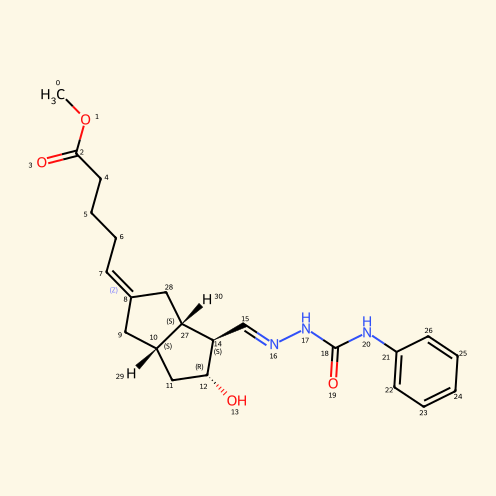 COC(=O)CCC/C=C1/C[C@H]2C[C@@H](O)[C@H](C=NNC(=O)Nc3ccccc3)[C@H]2C1